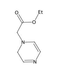 CCOC(=O)CN1C=CN=CC1